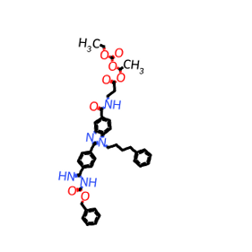 CCOC(=O)OC(C)OC(=O)CCNC(=O)c1ccc2c(c1)nc(-c1ccc(C(=N)NC(=O)OCc3ccccc3)cc1)n2CCCCc1ccccc1